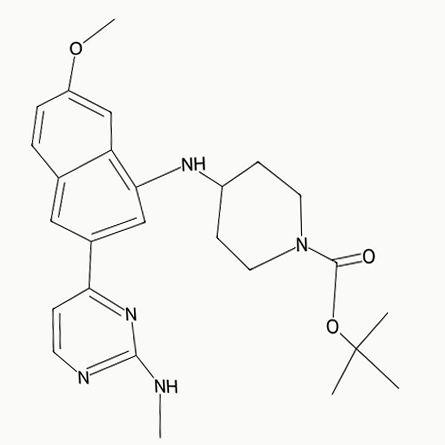 CNc1nccc(-c2cc(NC3CCN(C(=O)OC(C)(C)C)CC3)c3cc(OC)ccc3c2)n1